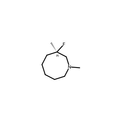 CN1CCCCC[C@@](C)(F)C1